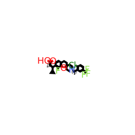 C[C@H](C(=O)O)C(c1ccc2c(c1F)OC1(CC2)CCN([C@H](C)c2cc(C(F)(F)F)ccc2Cl)CC1)C1CC1